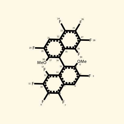 COc1c(F)cc2c(F)c(F)c(F)c(F)c2c1-c1c(OC)c(F)cc2c(F)c(F)c(F)c(F)c12